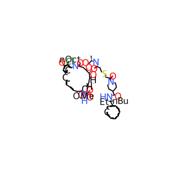 CCCCCCCCOc1cc2cc(c1Cl)N(C)C(=O)C[C@H](OC(=O)[C@@H](C)N(C)C(=O)CCSCC(=O)N1CCC(C(=O)NC(CC)(CCCC)c3ccccccccc3)CC1)[C@]1(C)O[C@H]1[C@H](C)[C@@H]1C[C@@](O)(NC(=O)O1)[C@H](OC)/C=C/C=C(\C)C2